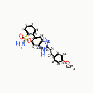 NS(=O)(=O)c1ccccc1-c1ccc2[nH]c(CCc3ccc(OC(F)(F)F)cc3)nc2c1